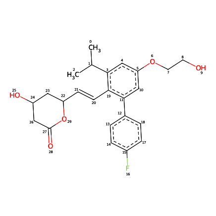 CC(C)c1cc(OCCO)cc(-c2ccc(F)cc2)c1/C=C/C1CC(O)CC(=O)O1